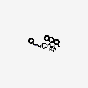 Cc1cccc(C)c1-n1nnnc1[C@H](C1CC=Cc2ccccc21)N1CCN(C/C=C/c2ccccc2)CC1